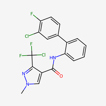 Cn1cc(C(=O)Nc2ccccc2-c2ccc(F)c(Cl)c2)c(C(F)(F)Cl)n1